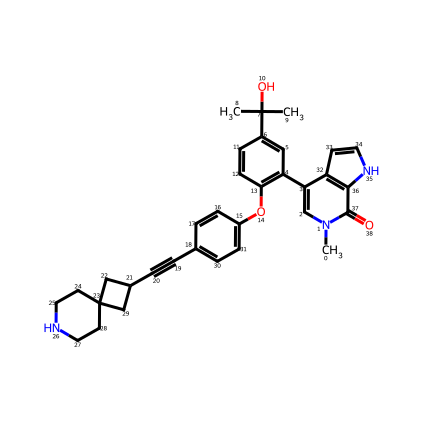 Cn1cc(-c2cc(C(C)(C)O)ccc2Oc2ccc(C#CC3CC4(CCNCC4)C3)cc2)c2cc[nH]c2c1=O